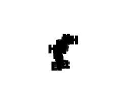 CCN(CC)CCOCc1cc(Nc2nccn3c(-c4cn[nH]c4)cnc23)sn1